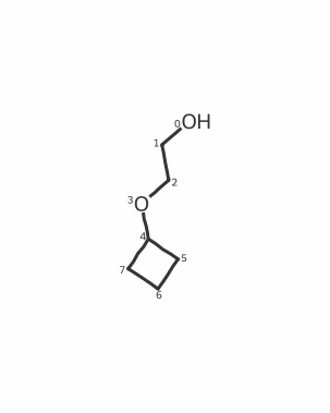 OCCOC1CCC1